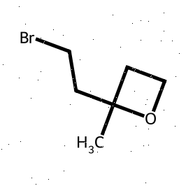 CC1(CCBr)CCO1